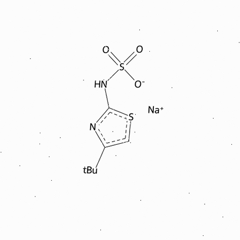 CC(C)(C)c1csc(NS(=O)(=O)[O-])n1.[Na+]